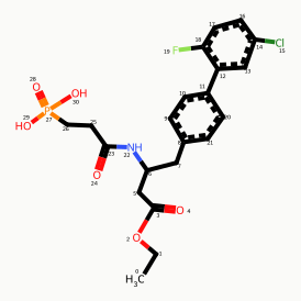 CCOC(=O)CC(Cc1ccc(-c2cc(Cl)ccc2F)cc1)NC(=O)CCP(=O)(O)O